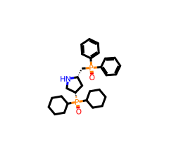 O=P(C[C@@H]1C[C@H](P(=O)(C2CCCCC2)C2CCCCC2)CN1)(c1ccccc1)c1ccccc1